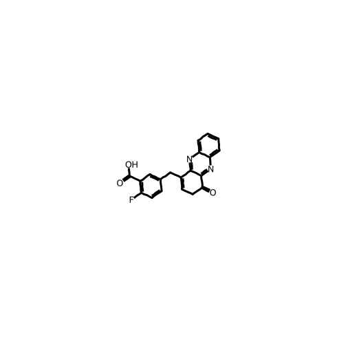 O=C(O)c1cc(CC2=CCC(=O)c3nc4ccccc4nc32)ccc1F